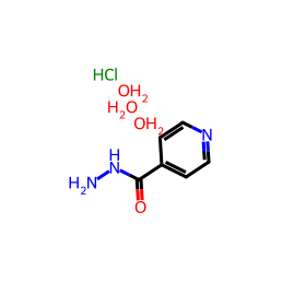 Cl.NNC(=O)c1ccncc1.O.O.O